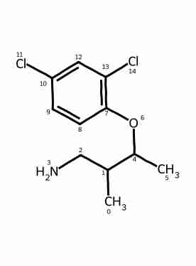 CC(CN)C(C)Oc1ccc(Cl)cc1Cl